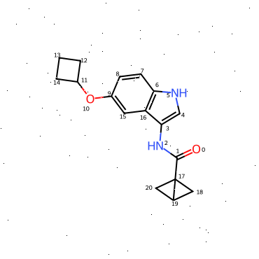 O=C(Nc1c[nH]c2ccc(OC3CCC3)cc12)C12CC1C2